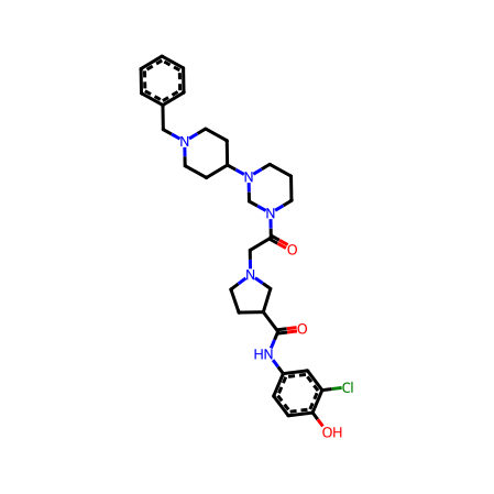 O=C(Nc1ccc(O)c(Cl)c1)C1CCN(CC(=O)N2CCCN(C3CCN(Cc4ccccc4)CC3)C2)C1